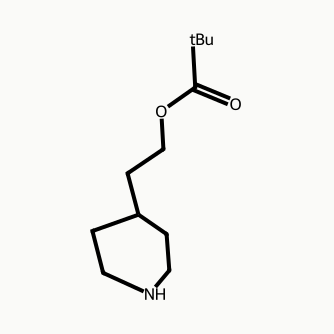 CC(C)(C)C(=O)OCCC1CCNCC1